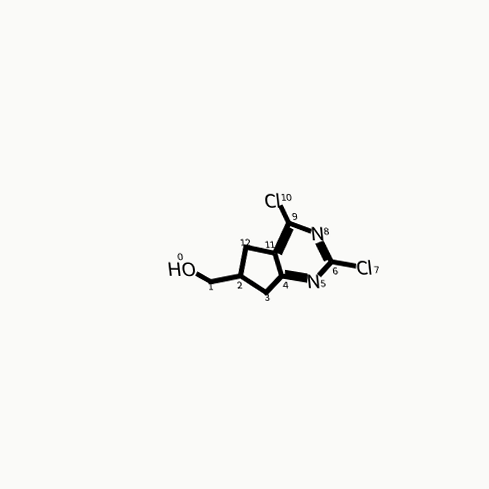 OCC1Cc2nc(Cl)nc(Cl)c2C1